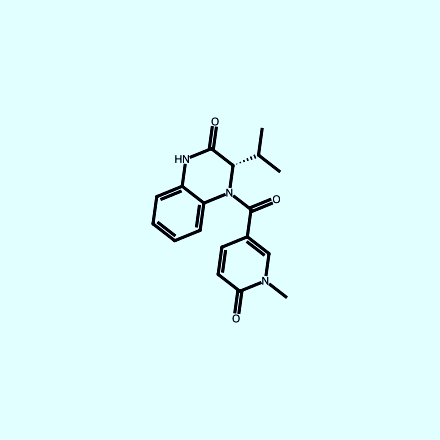 CC(C)[C@H]1C(=O)Nc2ccccc2N1C(=O)c1ccc(=O)n(C)c1